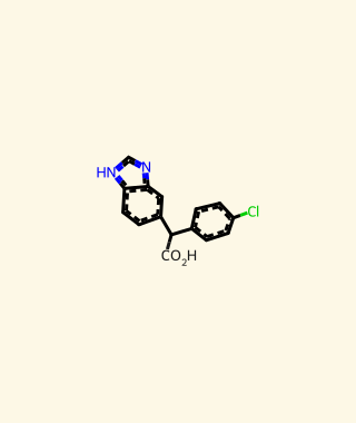 O=C(O)C(c1ccc(Cl)cc1)c1ccc2[nH]cnc2c1